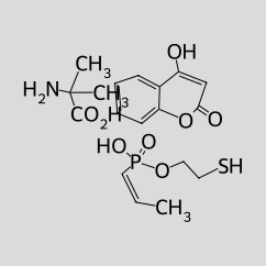 C/C=C\P(=O)(O)OCCS.CC(C)(N)C(=O)O.O=c1cc(O)c2ccccc2o1